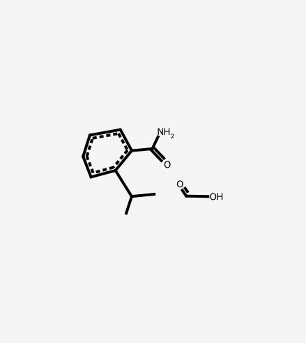 CC(C)c1ccccc1C(N)=O.O=CO